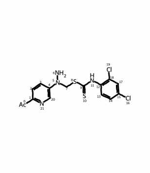 CC(=O)c1ccc(N(N)CSC(=S)Nc2ccc(Cl)cc2Cl)cn1